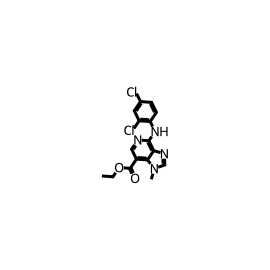 CCOC(=O)c1cnc(Nc2ccc(Cl)cc2Cl)c2ncn(C)c12